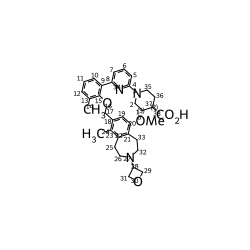 CO[C@@H]1CN(c2cccc(-c3cccc(C)c3OCc3ccc4c(c3C)CCN(C3COC3)CC4)n2)CC[C@H]1C(=O)O